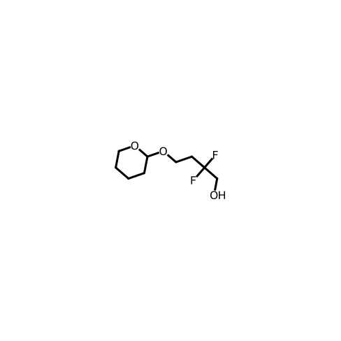 OCC(F)(F)CCOC1CCCCO1